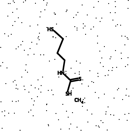 C.S=C(S)NCCCS